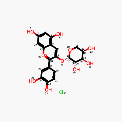 Oc1cc(O)c2cc(O[C@@H]3OC[C@@H](O)[C@@H](O)[C@@H]3O)c(-c3ccc(O)c(O)c3)[o+]c2c1.[Cl-]